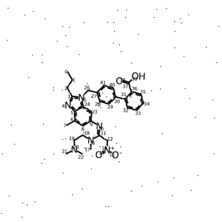 CCCc1nc2c(C)cc(N=C(C[N+](=O)[O-])N(C)CCN(C)C)cc2n1Cc1ccc(-c2ccccc2C(=O)O)cc1